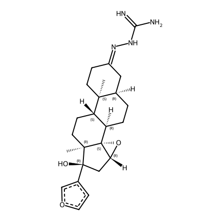 C[C@]12CCC(=NNC(=N)N)C[C@H]1CC[C@@H]1[C@@H]2CC[C@@]2(C)[C@@]13O[C@@H]3C[C@]2(O)c1ccoc1